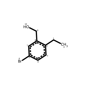 CCc1ccc(Br)cc1CO